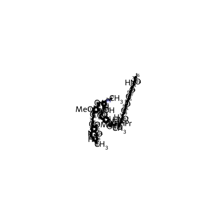 C/C=C/C1=CN2C(=O)c3cc(OC)c(OCCCOc4cc5c(cc4OC)C(=O)N4C=C(C)C[C@H]4C=N5)cc3N(C(=O)OCc3ccc(NC(=O)[C@H](C)NC(=O)[C@@H](NC(=O)CCOCCOCCOCCOCCNC(=O)CI)C(C)C)cc3)[C@@H](O)[C@@H]2C1